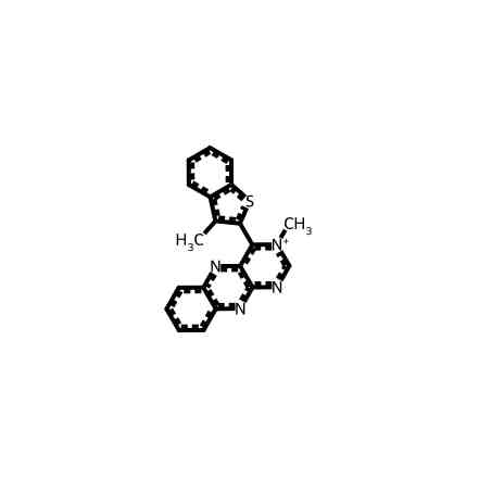 Cc1c(-c2c3nc4ccccc4nc3nc[n+]2C)sc2ccccc12